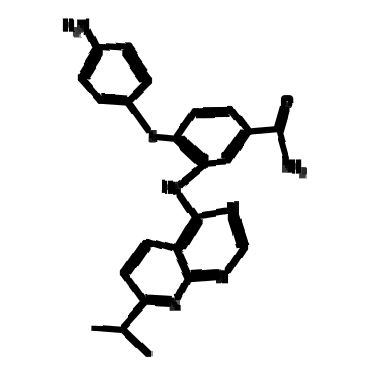 CC(C)c1ccc2c(Nc3cc(C(N)=O)ccc3Sc3ccc(N)cc3)ncnc2n1